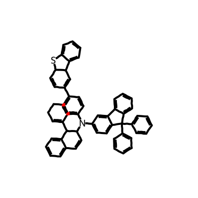 C1=CC(C2c3ccccc3C=CC2N(c2ccc(C3=CC4c5ccccc5SC4C=C3)cc2)c2ccc3c(c2)-c2ccccc2C3(c2ccccc2)c2ccccc2)=CCC1